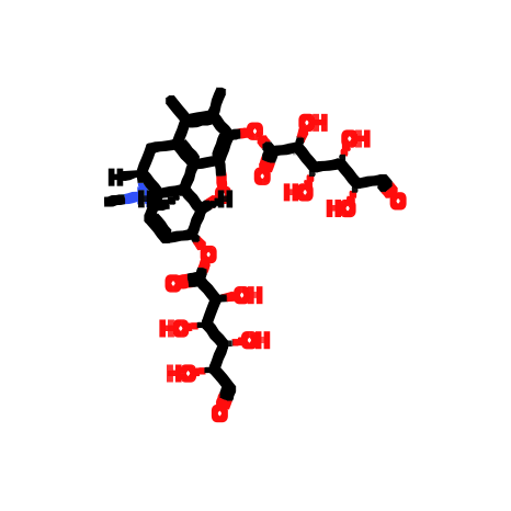 Cc1c(C)c(OC(=O)[C@@H](O)[C@@H](O)[C@H](O)[C@@H](O)C=O)c2c3c1C[C@@H]1[C@@H]4C=C[C@H](OC(=O)[C@@H](O)[C@@H](O)[C@H](O)[C@@H](O)C=O)[C@H](O2)[C@]34CCN1C